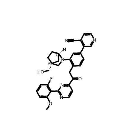 COc1cccc(F)c1-c1nccc(C(=O)Cc2ccc(-c3cnccc3C#N)cc2N2C[C@@]3(CO)CC[C@@H]2C3)n1